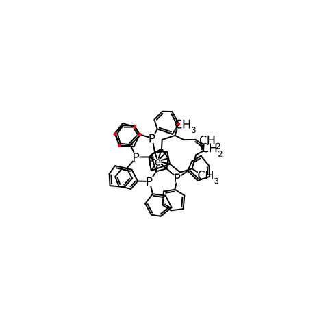 C=CCC(C)C[C]12[CH]3[C]4(P(c5ccccc5)c5ccccc5)[C]5(P(c6ccccc6)c6ccccc6)[CH]1[Fe]32451678[CH]2[C]1(CC(C)CC=C)[CH]6[C]7(P(c1ccccc1)c1ccccc1)[C]28P(c1ccccc1)c1ccccc1